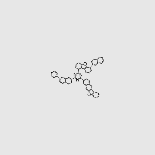 c1ccc(-c2ccc3ccc(-c4nc(-c5ccc6cc7c(cc6c5)oc5ccccc57)nc(-c5cccc6oc7c(-c8ccc9ccccc9c8)cccc7c56)n4)cc3c2)cc1